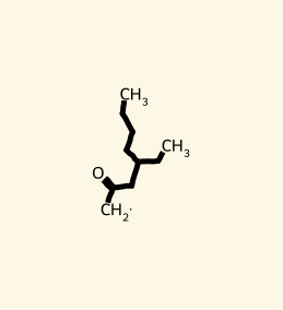 [CH2]C(=O)CC(CC)CCCC